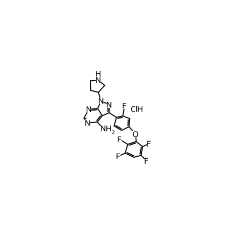 Cl.Nc1ncnc2c1c(-c1ccc(Oc3c(F)c(F)cc(F)c3F)cc1F)nn2C1CCNC1